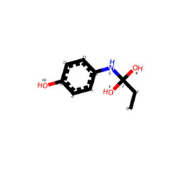 CCC(O)(O)Nc1ccc(O)cc1